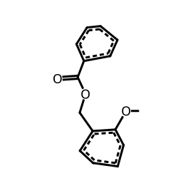 COc1ccccc1COC(=O)c1ccccc1